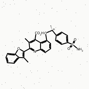 Cc1c(-c2oc3ccccc3c2C)nc2cccc(O[C@H](C)c3ccc(S(N)(=O)=O)cc3)c2c1C(=O)O